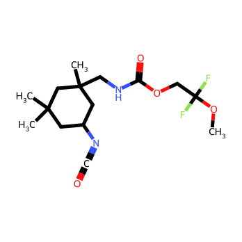 COC(F)(F)COC(=O)NCC1(C)CC(N=C=O)CC(C)(C)C1